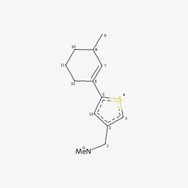 CNCc1csc(C2=CC(C)CCC2)c1